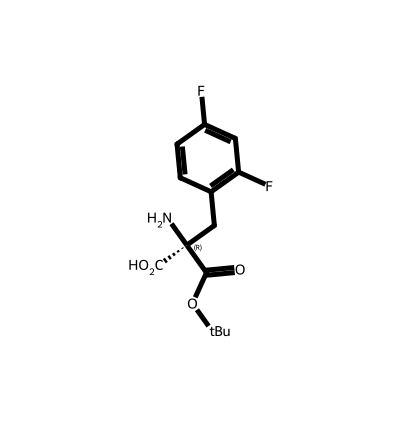 CC(C)(C)OC(=O)[C@@](N)(Cc1ccc(F)cc1F)C(=O)O